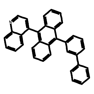 c1ccc(-c2cccc(-c3c4ccccc4c(-c4ccnc5ccccc45)c4ccccc34)c2)cc1